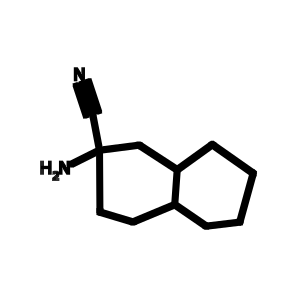 N#CC1(N)CCC2CCCCC2C1